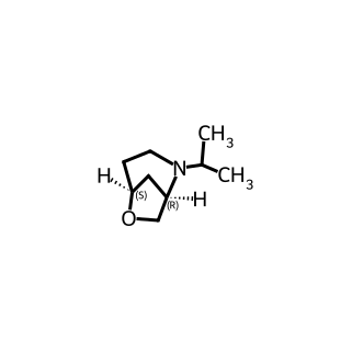 CC(C)N1CC[C@H]2C[C@@H]1CO2